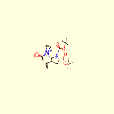 C=C[C@@H]1C[C@@H](C(=O)OC(C)(C)C)N(C(=O)OC(C)(C)C)[C@H]1[N+]1(C(C)=O)CC1